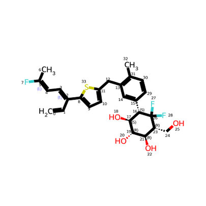 C=C/C(=C\C=C(/C)F)c1ccc(Cc2cc([C@H]3[C@H](O)[C@@H](O)[C@H](O)[C@@H](CO)C3(F)F)ccc2C)s1